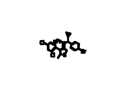 CCCN(C(c1ccc(Br)cc1)C1CC1)N1CSC(C)=C1c1ccc(Cl)cc1Cl